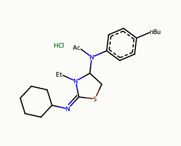 CCCCc1ccc(N(C(C)=O)C2CSC(=NC3CCCCC3)N2CC)cc1.Cl